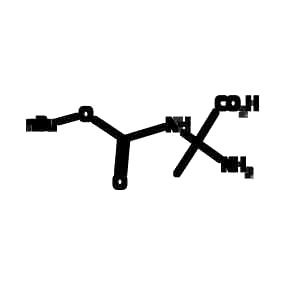 CCCCOC(=O)NC(C)(N)C(=O)O